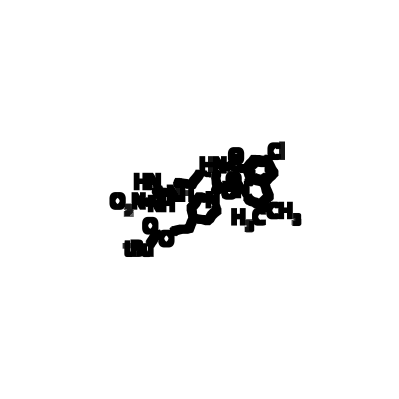 CC1(C)CNc2c(cc(Cl)cc2S(=O)(=O)N[C@@H](CCCNC(=N)N[N+](=O)[O-])C(=O)N2CCC(CCOC(=O)C(C)(C)C)CC2)C1